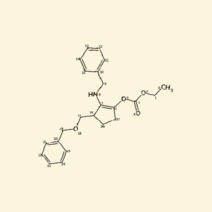 CCOC(=O)OC1=C(NCc2ccccc2)C(COCc2ccccc2)CC1